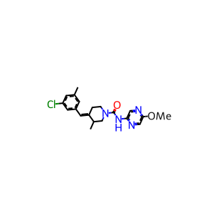 COc1cnc(NC(=O)N2CCC(=Cc3cc(C)cc(Cl)c3)C(C)C2)cn1